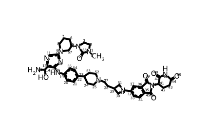 CN1CCN([C@@H]2CCCN(c3cnc(C(N)O)c(Nc4ccc(C5CCN(CCC6CN(c7ccc8c(c7)C(=O)N(C7CCC(=O)NC7=O)C8=O)C6)CC5)cc4)n3)C2)C1=O